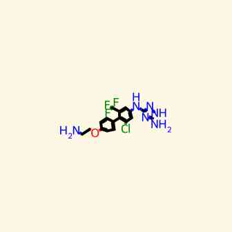 NCCOc1ccc(-c2c(Cl)cc(Nc3n[nH]c(N)n3)cc2C(F)(F)F)cc1